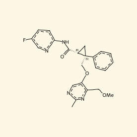 COCc1nc(C)ncc1OC[C@@]1(c2ccccc2)C[C@H]1C(=O)Nc1ccc(F)cn1